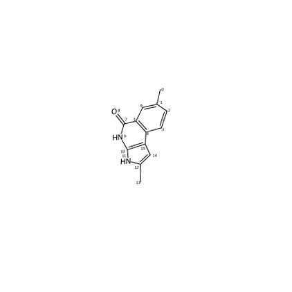 Cc1ccc2c(c1)c(=O)[nH]c1[nH]c(C)cc12